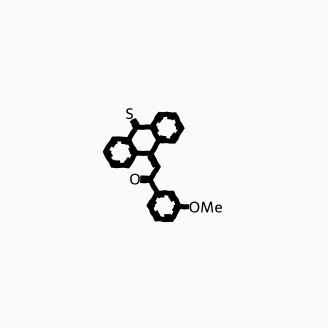 COc1cccc(C(=O)C=C2c3ccccc3C(=S)c3ccccc32)c1